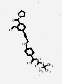 CC(C)(C)OC(=O)NC(=N)c1ccc(NCC#Cc2ccc(C(=O)N3CCCC3)c(C=O)c2)cc1